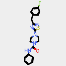 O=C(Nc1ccccc1)N1CCN(c2nc(Cc3ccc(F)cc3)ns2)CC1